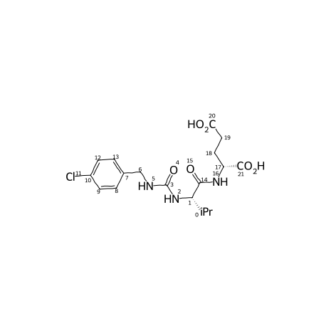 CC(C)[C@H](NC(=O)NCc1ccc(Cl)cc1)C(=O)N[C@H](CCC(=O)O)C(=O)O